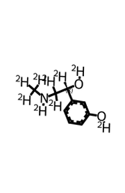 [2H]Oc1cccc([C@@]([2H])(O[2H])C([2H])([2H])N([2H])C([2H])([2H])[2H])c1